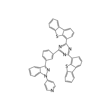 c1cc(-c2nc(-c3cccc4c3sc3ccccc34)nc(-c3cccc4c3sc3ccccc34)n2)cc(-c2nn(-c3ccncc3)c3ccccc23)c1